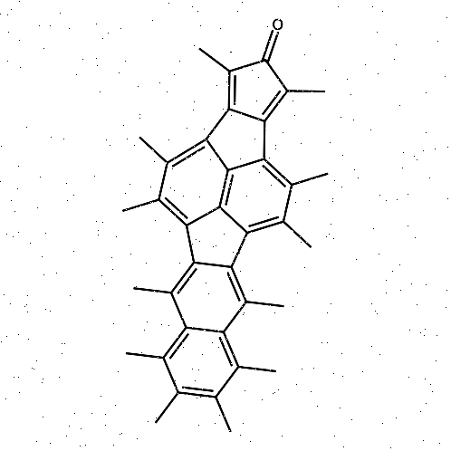 Cc1c(C)c(C)c2c(C)c3c(c(C)c2c1C)c1c(C)c(C)c2c4c(C)c(=O)c(C)c-4c4c(C)c(C)c3c1c24